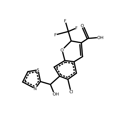 O=C(O)C1=Cc2cc(Cl)c(C(O)c3nccs3)cc2OC1C(F)(F)F